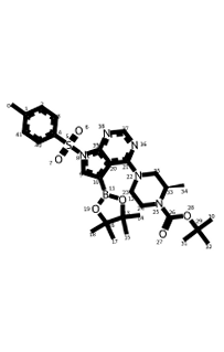 Cc1ccc(S(=O)(=O)n2cc(B3OC(C)(C)C(C)(C)O3)c3c(N4CCN(C(=O)OC(C)(C)C)[C@H](C)C4)ncnc32)cc1